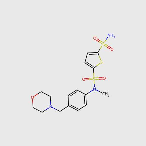 CN(c1ccc(CN2CCOCC2)cc1)S(=O)(=O)c1ccc(S(N)(=O)=O)s1